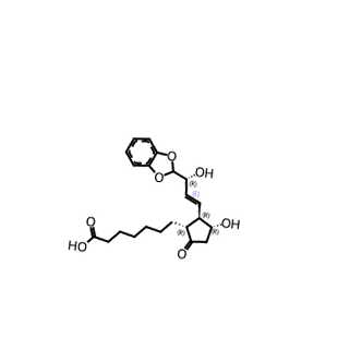 O=C(O)CCCCCC[C@H]1C(=O)C[C@@H](O)[C@@H]1/C=C/[C@@H](O)C1Oc2ccccc2O1